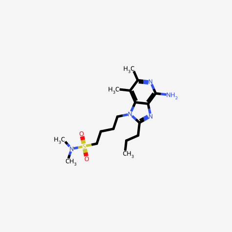 CCCc1nc2c(N)nc(C)c(C)c2n1CCCCS(=O)(=O)N(C)C